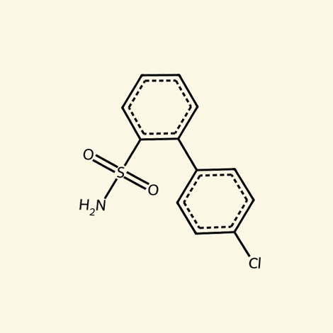 NS(=O)(=O)c1ccccc1-c1ccc(Cl)cc1